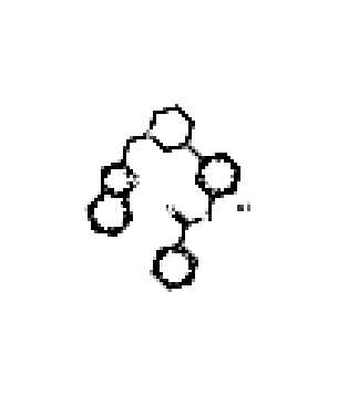 Cl.O=C(Oc1cccc(C2CCCN(Cc3cc4ccccc4o3)C2)c1)c1ccccc1